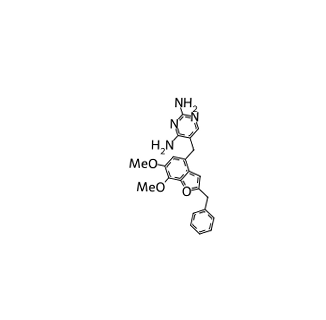 COc1cc(Cc2cnc(N)nc2N)c2cc(Cc3ccccc3)oc2c1OC